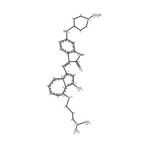 CCOC(=O)N1CCC(Nc2ccc3c(c2)NC(=O)C3=Cc2cc(C)c3c(OCCCN(C)C)ccccc2-3)CC1